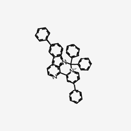 c1ccc(-c2cc[n+]3c(c2)-c2nccc4c5cc(-c6ccccc6)ccc5n(c24)C3(c2ccccc2)c2ccccc2)cc1